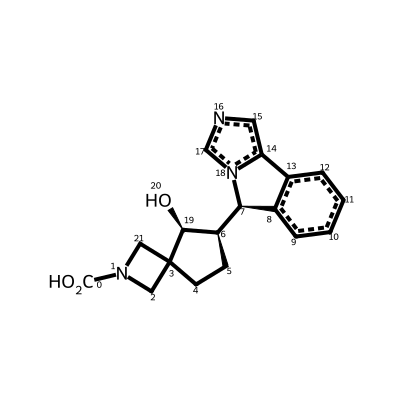 O=C(O)N1CC2(CC[C@H]([C@@H]3c4ccccc4-c4cncn43)[C@@H]2O)C1